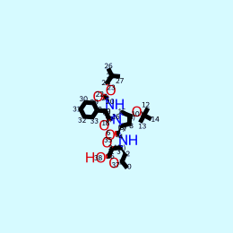 CCC[C@H](NC(=O)[C@@H]1C[C@@H](OC(C)(C)C)CN1C(=O)[C@@H](NC(=O)OCC(C)C)C1CCCCC1)C(=O)C(=O)O